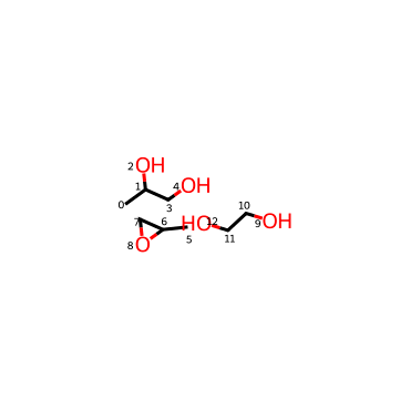 CC(O)CO.CC1CO1.OCCO